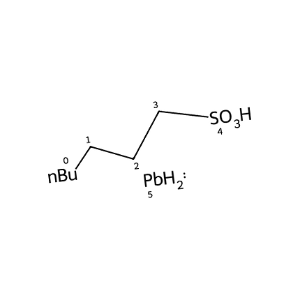 CCCCCCCS(=O)(=O)O.[PbH2]